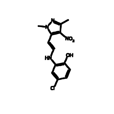 Cc1nn(C)c(C=CNc2cc(Cl)ccc2O)c1[N+](=O)[O-]